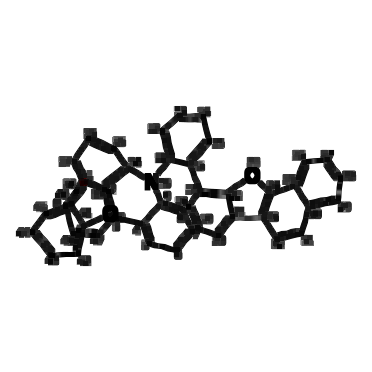 c1ccc(-c2ccccc2N(c2ccccc2-c2cccc3c2oc2c4ccccc4ccc32)c2cccc3c2oc2ccccc23)cc1